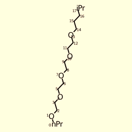 CCCOCCOCCOCCOCCOCCCC(C)C